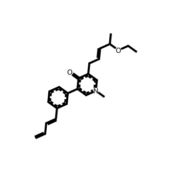 C=CC=Cc1cccc(-c2cn(C)cc(CC=CC(C)OCC)c2=O)c1